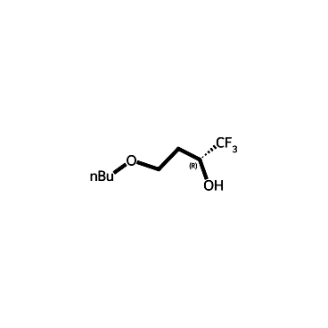 CCCCOCC[C@@H](O)C(F)(F)F